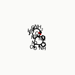 COC(=O)c1nc2oc1-c1c[nH]c3cccc(c13)-c1cccc3c1NC1Oc4ccc5cc4C31c1oc(nc1-2)[C@H](C(C)C)NC(=O)[C@@H](N)C5